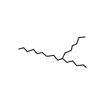 CCCCCCCCC[C](CCCCC)CCCCCC